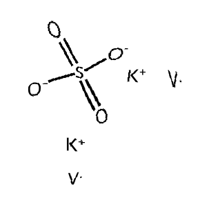 O=S(=O)([O-])[O-].[K+].[K+].[V].[V]